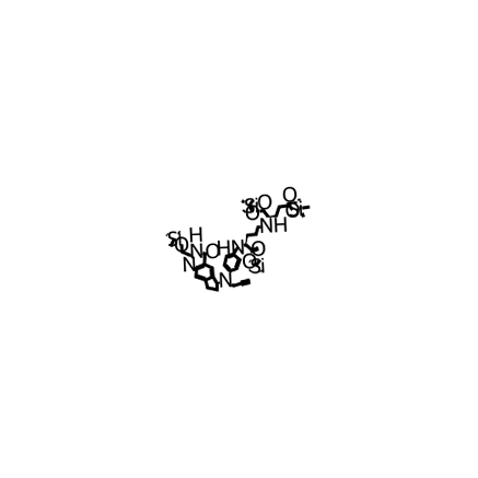 C#CCN(c1ccc(N[C@@H](CCCN[C@H](CCC(=O)O[Si](C)(C)C)C(=O)O[Si](C)(C)C)C(=O)O[Si](C)(C)C)cc1)[C@H]1CCc2cc3nc(CO[Si](C)(C)C)[nH]c(=O)c3cc21